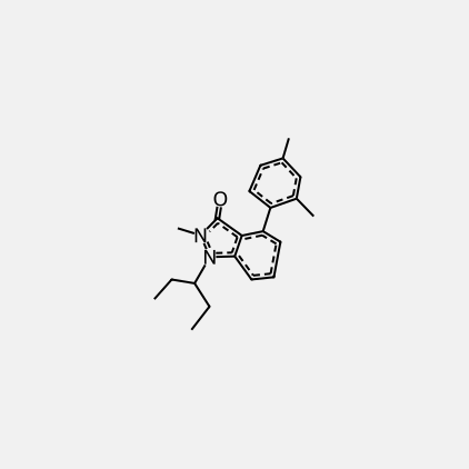 CCC(CC)n1c2cccc(-c3ccc(C)cc3C)c2c(=O)n1C